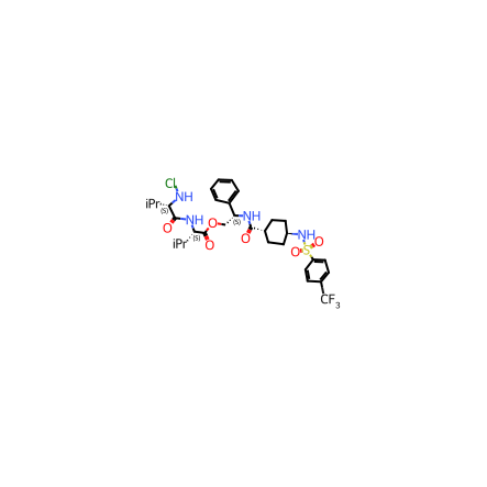 CC(C)[C@H](NCl)C(=O)N[C@H](C(=O)OC[C@@H](NC(=O)[C@H]1CC[C@H](NS(=O)(=O)c2ccc(C(F)(F)F)cc2)CC1)c1ccccc1)C(C)C